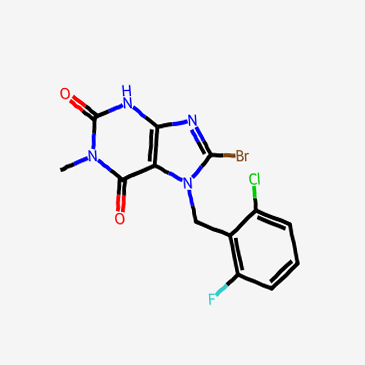 Cn1c(=O)[nH]c2nc(Br)n(Cc3c(F)cccc3Cl)c2c1=O